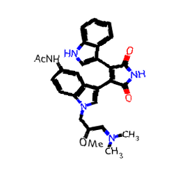 COC(CN(C)C)Cn1cc(C2=C(c3c[nH]c4ccccc34)C(=O)NC2=O)c2cc(NC(C)=O)ccc21